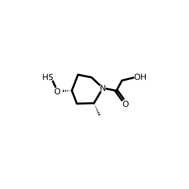 C[C@@H]1C[C@H](OS)CCN1C(=O)CO